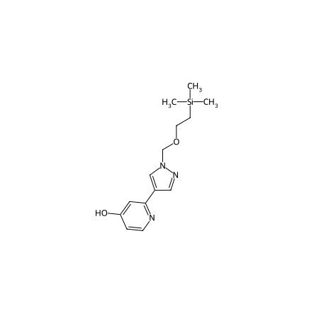 C[Si](C)(C)CCOCn1cc(-c2cc(O)ccn2)cn1